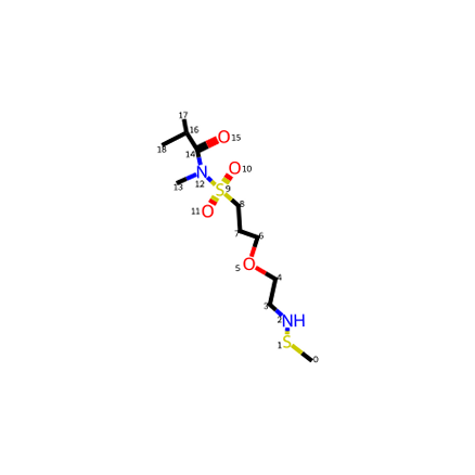 CSNCCOCCCS(=O)(=O)N(C)C(=O)C(C)C